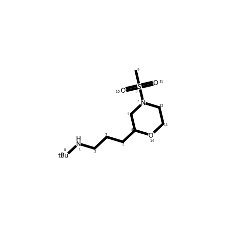 CC(C)(C)NCCCC1CN(S(C)(=O)=O)CCO1